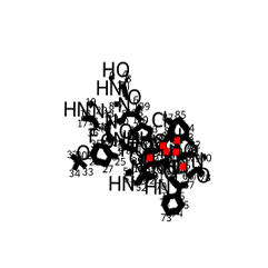 CN[C@@H](CO)C(=O)N(C)C(C(=O)N(C)[C@@H](Cc1c[nH]cn1)C(=O)N[C@@H](Cc1ccc(OC(C)(C)C)c(F)c1)C(=O)N1CCC[C@H]1C(=O)N(C)[C@@H](Cc1c[nH]cn1)C(=O)N1CCC[C@H]1C(=O)N[C@@H](Cc1c[nH]c2ccccc12)C(=O)N(C)[C@@H](Cc1ccc(Cl)cc1)C(=O)NC(CC(=O)O)C(=O)N1CCC[C@H]1C(=O)O)C(C)C